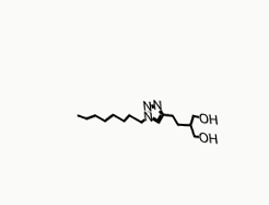 CCCCCCCCn1cc(CCC(CO)CO)nn1